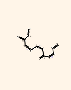 C=C/C=C\C(=C)/C=C\C=C/C(=C)C=C